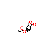 C=CC(=O)OC1CC2C(C)C1C1COC(=O)C21